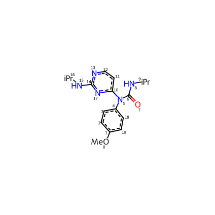 COc1ccc(N(C(=O)NC(C)C)c2ccnc(NC(C)C)n2)cc1